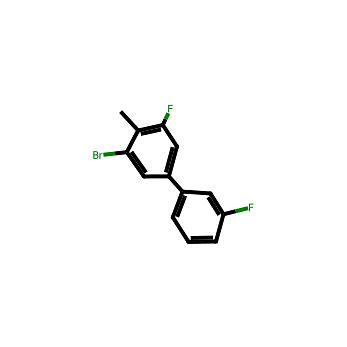 Cc1c(F)cc(-c2cccc(F)c2)cc1Br